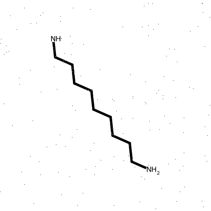 [NH]CCCCCCCCCN